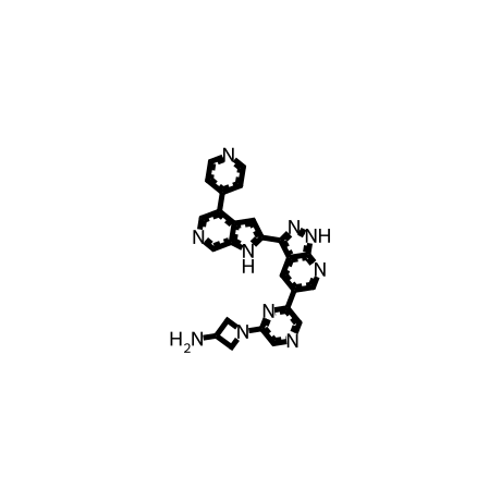 NC1CN(c2cncc(-c3cnc4[nH]nc(-c5cc6c(-c7ccncc7)cncc6[nH]5)c4c3)n2)C1